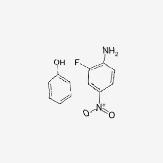 Nc1ccc([N+](=O)[O-])cc1F.Oc1ccccc1